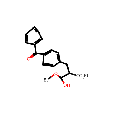 CCOC(=O)C(Cc1ccc(C(=O)c2ccccc2)cc1)C(O)OCC